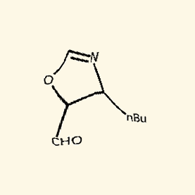 CCCCC1N=COC1C=O